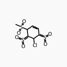 CS(=O)(=O)C1C=CC(=S(=O)=O)C(Cl)C1=S(=O)=O